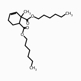 CCCCCCOC(=O)C1CCC=CC1(C)C(=O)OCCCCCC